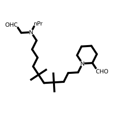 CCCN(CC=O)CCCCC(C)(C)CC(C)(C)CCCN1CCCCC1C=O